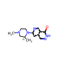 C[C@H]1CN(C)CCN1c1cc2cn[nH]c(=O)c2cn1